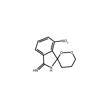 N=C1NC2(CCCOO2)c2c1cccc2[N+](=O)[O-]